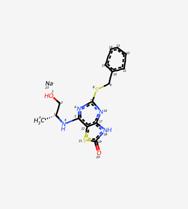 C[C@H](CO)Nc1nc(SCc2ccccc2)nc2[nH]c(=O)sc12.[Na]